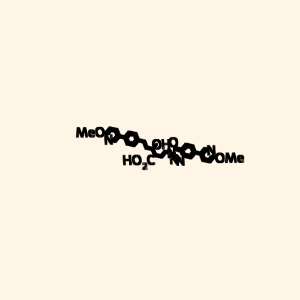 COc1ccc(-c2ccc(CC[C@@H](O)[C@H](CCn3nnc4cc(-c5ccc(OC)nc5)ccc4c3=O)C(=O)O)cc2)cn1